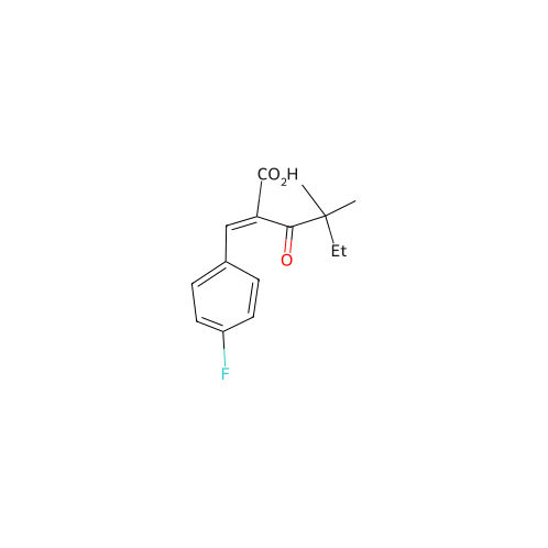 CCC(C)(C)C(=O)C(=Cc1ccc(F)cc1)C(=O)O